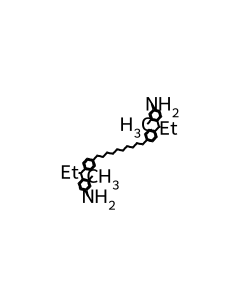 CCC(c1ccc(CCCCCCCCCCc2ccc(C(CC)c3ccc(N)cc3C)cc2)cc1)c1ccc(N)cc1C